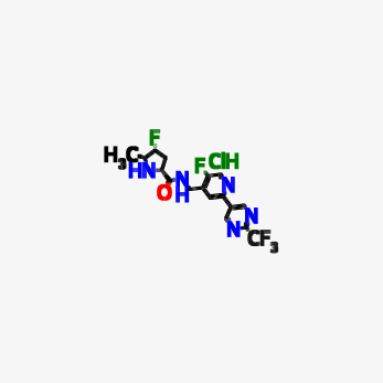 C[C@@H]1N[C@H](C(=O)NCc2cc(-c3cnc(C(F)(F)F)nc3)ncc2F)C[C@H]1F.Cl